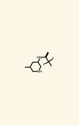 C=C(NC1CNCC(C)C1)C(C)(F)F